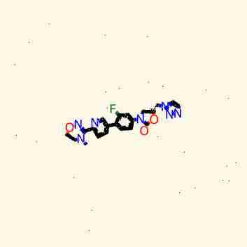 CN1CCON=C1c1ccc(-c2ccc(N3C[C@H](Cn4ccnn4)OC3=O)cc2F)cn1